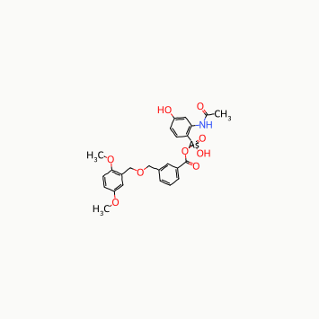 COc1ccc(OC)c(COCc2cccc(C(=O)O[As](=O)(O)c3ccc(O)cc3NC(C)=O)c2)c1